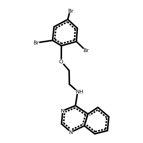 Brc1cc(Br)c(OCCNc2ncnc3ccccc23)c(Br)c1